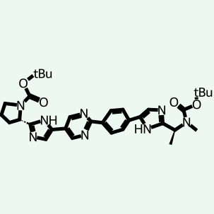 C[C@@H](c1ncc(-c2ccc(-c3ncc(-c4cnc([C@@H]5CCCN5C(=O)OC(C)(C)C)[nH]4)cn3)cc2)[nH]1)N(C)C(=O)OC(C)(C)C